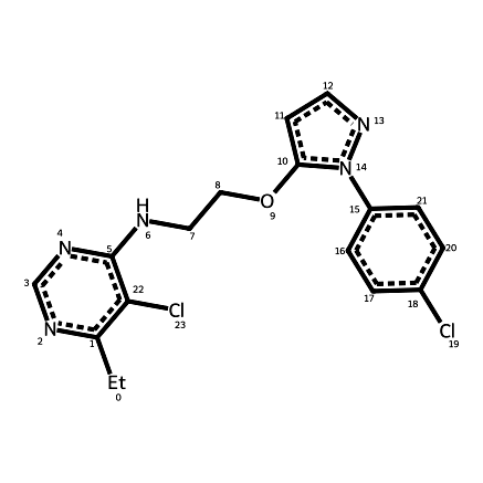 CCc1ncnc(NCCOc2ccnn2-c2ccc(Cl)cc2)c1Cl